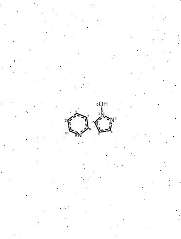 On1cccn1.c1ccncc1